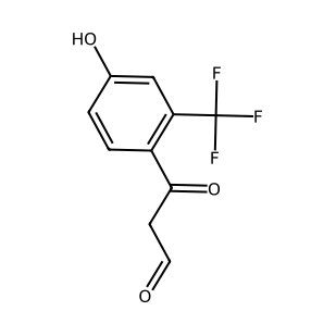 O=CCC(=O)c1ccc(O)cc1C(F)(F)F